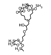 C[SiH2]O[Si](CCCOCC(O)CN(CCC[Si](O[SiH3])(O[SiH3])O[SiH2]C)CCCS(=O)(=O)O)(O[SiH3])O[SiH3]